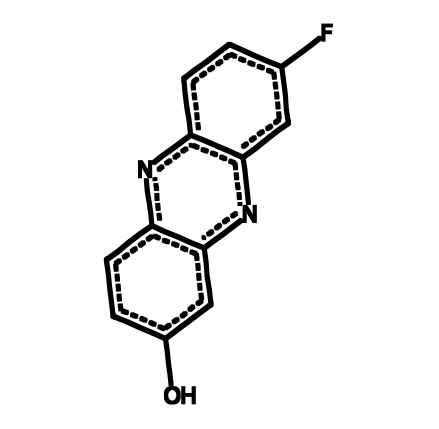 Oc1ccc2nc3ccc(F)cc3nc2c1